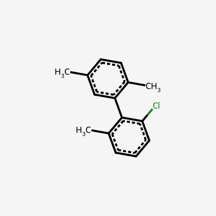 Cc1ccc(C)c(-c2c(C)cccc2Cl)c1